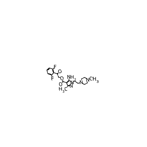 Cc1nn(CCN2CCN(C)CC2)c(N)c1C(=O)OCC(=O)c1c(F)cccc1F